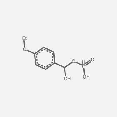 CCOc1ccc(C(O)O[PH](=O)O)cc1